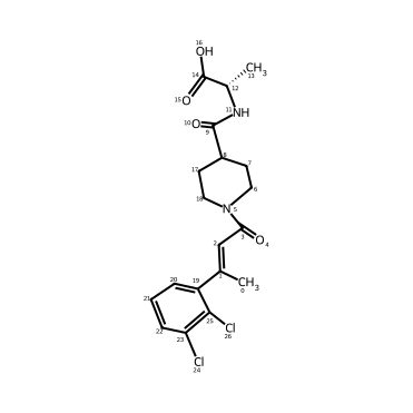 C/C(=C\C(=O)N1CCC(C(=O)N[C@@H](C)C(=O)O)CC1)c1cccc(Cl)c1Cl